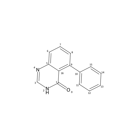 O=c1[nH]cnc2cccc(-c3ccccc3)c12